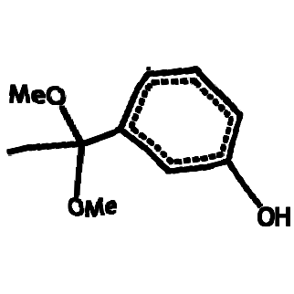 COC(C)(OC)c1[c]ccc(O)c1